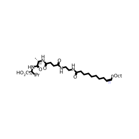 CCCCCCCC/C=C\CCCCCCCC(=O)NCCNC(=O)CCC(=O)N[C@@H](C)C(=O)N[C@H](C(=O)O)C(C)C